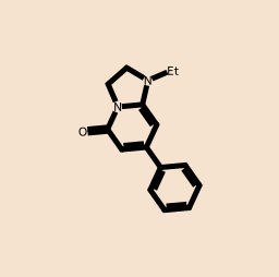 CCN1CCn2c1cc(-c1ccccc1)cc2=O